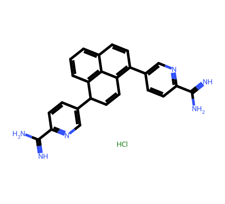 Cl.N=C(N)c1ccc(-c2ccc3cccc4c3c2C=CC4c2ccc(C(=N)N)nc2)cn1